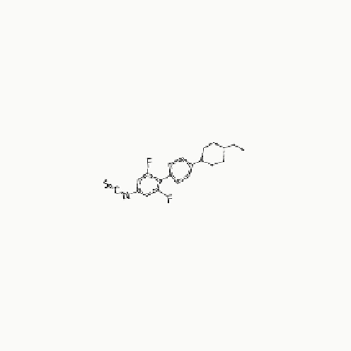 CCC1CCC(c2ccc(-c3c(F)cc(N=C=S)cc3F)cc2)CC1